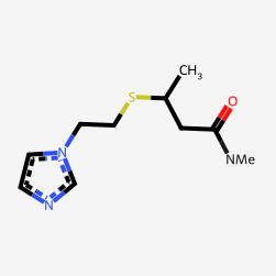 CNC(=O)CC(C)SCCn1ccnc1